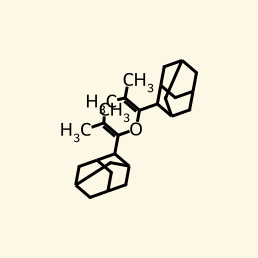 CC(C)=C(OC(=C(C)C)C1C2CC3CC(C2)CC1C3)C1C2CC3CC(C2)CC1C3